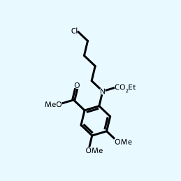 CCOC(=O)N(CCCCCl)c1cc(OC)c(OC)cc1C(=O)OC